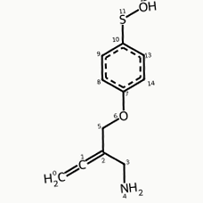 C=C=C(CN)COc1ccc(SO)cc1